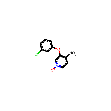 O=[N+]([O-])c1cc[n+]([O-])cc1Oc1cccc(Cl)c1